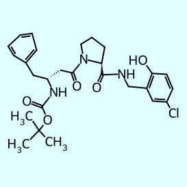 CC(C)(C)OC(=O)N[C@@H](CC(=O)N1CCC[C@H]1C(=O)NCc1cc(Cl)ccc1O)Cc1ccccc1